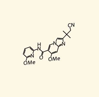 COc1cccc(NC(=O)c2cn3cc(C(C)(C)CC#N)nc3cc2OC)n1